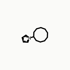 c1ccn(C2CCCCCCCCC2)c1